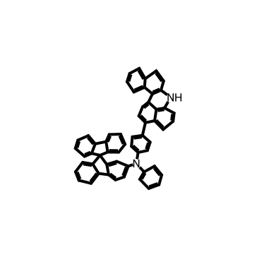 c1ccc(N(c2ccc(-c3ccc4c5c(cccc35)Nc3ccc5ccccc5c3-4)cc2)c2ccc3c(c2)C2(c4ccccc4-c4ccccc42)c2ccccc2-3)cc1